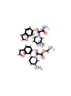 C[C@H]1CC[C@H](c2cccc3c2OCC3)N(C(=O)C(=O)OCC(F)(F)F)C1.C[C@H]1CC[C@H](c2cccc3c2OCC3)N(C(=O)C(N)=O)C1